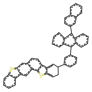 C1=c2sc3c(ccc4cc5sc6ccccc6c5cc43)c2=CC(c2cccc(-c3c4ccccc4c(-c4ccc5ccccc5c4)c4ccccc34)c2)C1